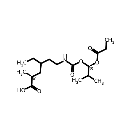 CCC(=O)O[C@H](OC(=O)NCCC(CC)C[C@H](C)C(=O)O)C(C)C